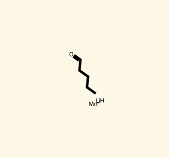 CCCCC=O.[LiH].[Mn]